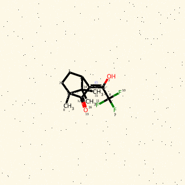 CC12CCC(/C(=C(\O)C(F)(F)F)C1=O)C2(C)C